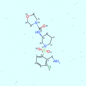 NCc1c(Cl)cccc1S(=O)(=O)N1CCC[C@H](NC(=O)N2CCOCC2)C1